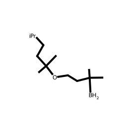 BC(C)(C)CCOC(C)(C)CCC(C)C